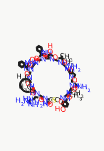 CC(C)C[C@@H]1NC(=O)[C@H](CN)NC(=O)[C@@H]2CCCN2C(=O)[C@H](CC(N)=O)NC(=O)[C@H](C)N(C)C(=O)[C@H](Cc2ccc(O)cc2)NC(=O)CSC[C@@H](C(N)=O)NC(=O)[C@H](CCCNC(=N)N)NC(=O)[C@@H]2CCCC/C=C\CCCC[C@@H](C(=O)N2C)N(C)C(=O)[C@H](Cc2c[nH]c3ccccc23)NC(=O)[C@H](CO)NC(=O)[C@H](Cc2c[nH]c3ccccc23)NC(=O)[C@@H]2C[C@@H](O)CN2C1=O